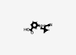 N#CCC1(CNc2cccc(C(=O)O)c2)CC1